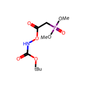 COP(=O)(CC(=O)ONC(=O)OC(C)(C)C)OC